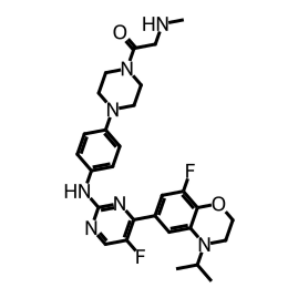 CNCC(=O)N1CCN(c2ccc(Nc3ncc(F)c(-c4cc(F)c5c(c4)N(C(C)C)CCO5)n3)cc2)CC1